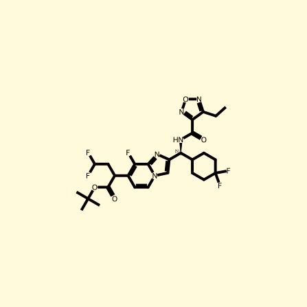 CCc1nonc1C(=O)N[C@H](c1cn2ccc(C(CC(F)F)C(=O)OC(C)(C)C)c(F)c2n1)C1CCC(F)(F)CC1